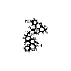 Cc1[nH]nc2c1C(c1ccccc1C#N)C1=C(CC(C)(Cn3nc4c(c3C)C(c3cccc(C#N)c3)C3=C(CC(C)(C)CC3=O)N4)CC1=O)N2